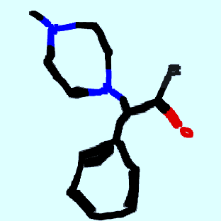 CCC(=O)C(c1ccccc1)N1CCN(C)CC1